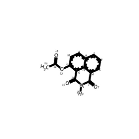 [2H]N1C(=O)c2cccc3ccc(OC(C)=O)c(c23)C1=O